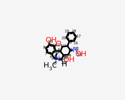 CN1CC[C@]23c4c5ccc(O)c4OC2C(c2ccccc2)C(=NO)C[C@@]3(O)[C@H]1C5